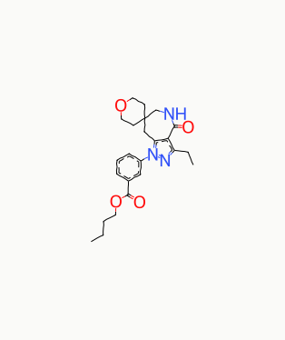 CCCCOC(=O)c1cccc(-n2nc(CC)c3c2CC2(CCOCC2)CNC3=O)c1